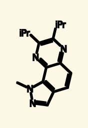 CC(C)c1nc2ccc3cnn(C)c3c2nc1C(C)C